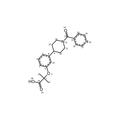 CC(C)(Oc1cccc(C2CCN(C(=O)c3ccncc3)CC2)c1)C(=O)O